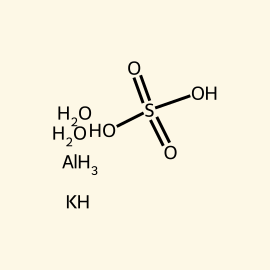 O.O.O=S(=O)(O)O.[AlH3].[KH]